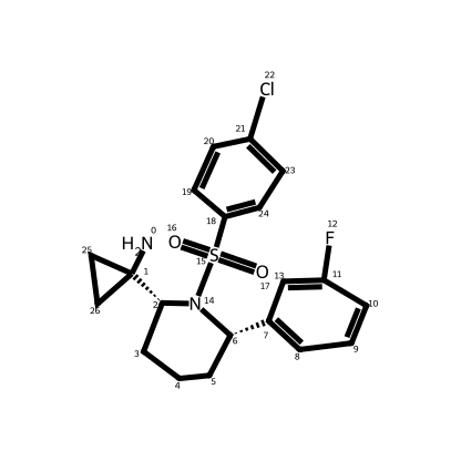 NC1([C@H]2CCC[C@@H](c3cccc(F)c3)N2S(=O)(=O)c2ccc(Cl)cc2)CC1